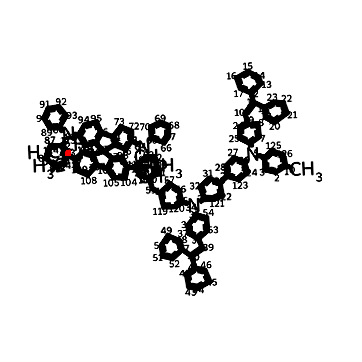 Cc1ccc(N(c2ccc(C=C(c3ccccc3)c3ccccc3)cc2)c2ccc(-c3ccc(N(c4ccc(C=C(c5ccccc5)c5ccccc5)cc4)c4ccc(Cc5ccc(N(c6ccccc6)c6ccc7c(c6)C6(c8cc(N(c9ccccc9)c9ccccc9)ccc8-7)c7cc(C(C)(C)C)ccc7-c7ccc(C(C)(C)C)cc76)cc5)cc4)cc3)cc2)cc1